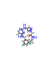 Cc1cnc(Nc2cnn(CC(=O)NC3CC3)c2)nc1NCc1cc(F)cc(F)c1